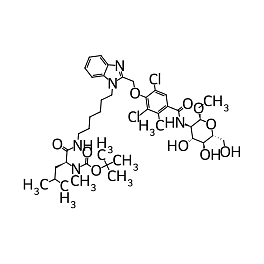 CO[C@H]1O[C@H](CO)[C@@H](O)[C@H](O)[C@H]1NC(=O)c1cc(Cl)c(OCc2nc3ccccc3n2CCCCCCNC(=O)[C@H](CC(C)C)N(C)C(=O)OC(C)(C)C)c(Cl)c1C